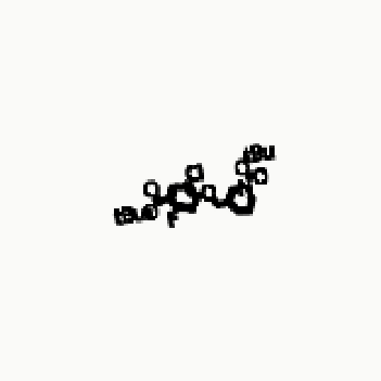 CC(C)(C)OC(=O)c1cc(Cl)c(OCC2CCCN(C(=O)OC(C)(C)C)C2)cc1F